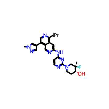 CC(C)c1ncc(-c2cnn(C)c2)c2cnc(Nc3ccnc(N4CC[C@@H](O)[C@@](C)(F)C4)n3)cc12